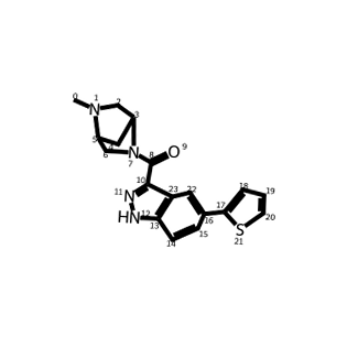 CN1CC2CC1CN2C(=O)c1n[nH]c2ccc(-c3cccs3)cc12